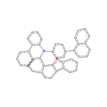 c1ccc(-c2ccccc2N(c2ccc(-c3cccc4ccccc34)cc2)c2cccc3ccc4c5ccccc5oc4c23)cc1